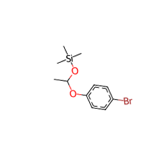 CC(Oc1ccc(Br)cc1)O[Si](C)(C)C